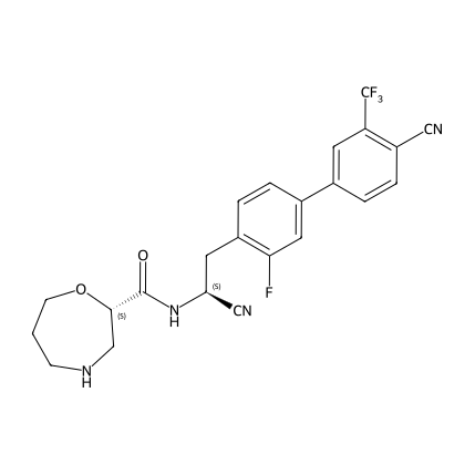 N#Cc1ccc(-c2ccc(C[C@@H](C#N)NC(=O)[C@@H]3CNCCCO3)c(F)c2)cc1C(F)(F)F